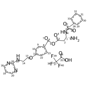 N[C@H](CC(=O)OC(=O)c1ccc(OCCNc2ncccn2)cc1)NS(=O)(=O)c1ccccc1.O=C(O)C(F)(F)F